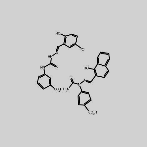 NC(=S)N(N=Cc1ccc2ccccc2c1O)c1ccc(C(=O)O)cc1.O=C(O)c1cccc(NC(=S)NN=Cc2cc(Cl)ccc2O)c1